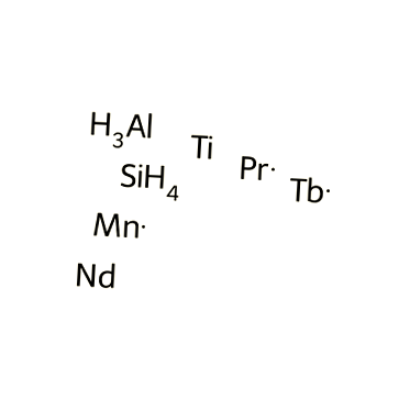 [AlH3].[Mn].[Nd].[Pr].[SiH4].[Tb].[Ti]